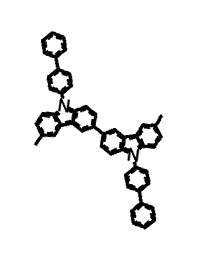 Cc1ccc2c(c1)c1cc(-c3ccc4c(c3)c3cc(C)ccc3n4-c3ccc(-c4ccccc4)cc3)ccc1n2-c1ccc(-c2ccccc2)cc1